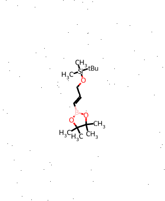 CC1(C)OB(C=CCO[Si](C)(C)C(C)(C)C)OC1(C)C